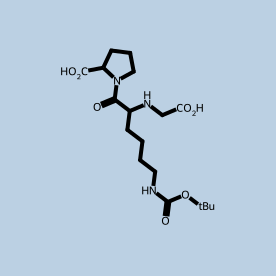 CC(C)(C)OC(=O)NCCCCC(NCC(=O)O)C(=O)N1CCCC1C(=O)O